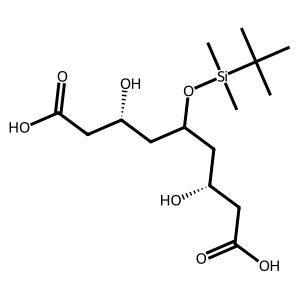 CC(C)(C)[Si](C)(C)OC(C[C@@H](O)CC(=O)O)C[C@@H](O)CC(=O)O